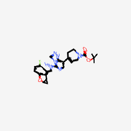 CC(C)(C)OC(=O)N1CC=C(c2cnc(NCc3c(F)ccc4c3C3CC3O4)n3cnnc23)CC1